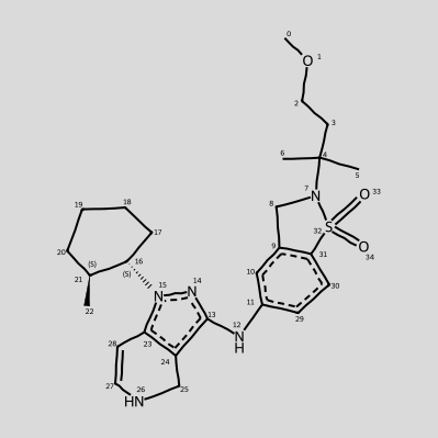 COCCC(C)(C)N1Cc2cc(Nc3nn([C@H]4CCCC[C@@H]4C)c4c3CNC=C4)ccc2S1(=O)=O